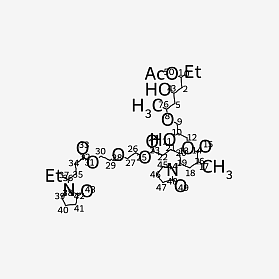 CCC(CC(O)CC(C)OCC(O)COC(=O)C(C)CC(CCCC(=O)OCCOCCOC(=O)CCC(CC)N1CCCC1=O)N1CCCC1=O)OC(C)=O